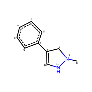 CN1CC(c2ccccc2)=CN1